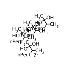 CCCCCC(C)C(C)(O)O.CCCCCC(C)C(C)(O)O.CCCCCC(C)C(C)(O)O.CCCCCC(C)C(C)(O)O.[Zr]